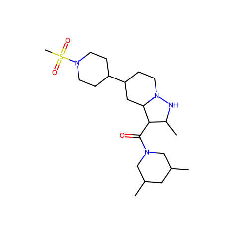 CC1CC(C)CN(C(=O)C2C(C)NN3CCC(C4CCN(S(C)(=O)=O)CC4)CC23)C1